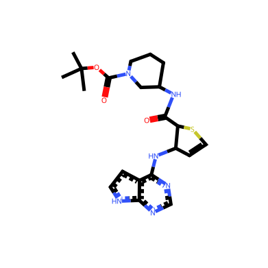 CC(C)(C)OC(=O)N1CCCC(NC(=O)C2SC=CC2Nc2ncnc3[nH]ccc23)C1